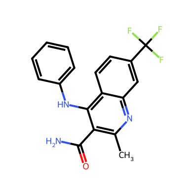 Cc1nc2cc(C(F)(F)F)ccc2c(Nc2ccccc2)c1C(N)=O